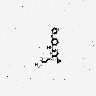 NC(=O)CCNc1nc(Nc2cccc(Cn3ccnc3)c2)ncc1C1CC1